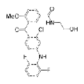 COc1ccc(C(=O)NCCO)cc1C(=O)c1ccc(Nc2c(F)cccc2F)cc1Cl